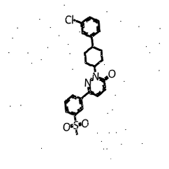 CS(=O)(=O)c1cccc(-c2ccc(=O)n(C3CCC(c4cccc(Cl)c4)CC3)n2)c1